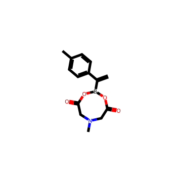 C=C(B1OC(=O)CN(C)CC(=O)O1)c1ccc(C)cc1